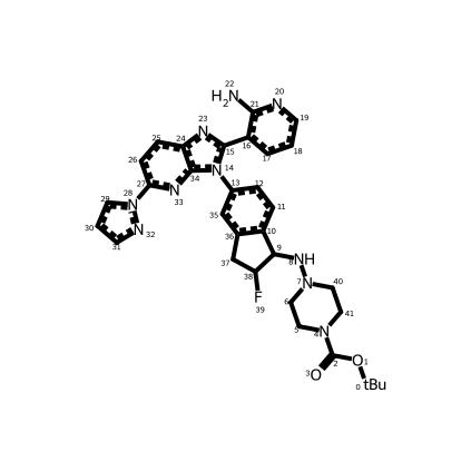 CC(C)(C)OC(=O)N1CCN(NC2c3ccc(-n4c(-c5cccnc5N)nc5ccc(-n6cccn6)nc54)cc3CC2F)CC1